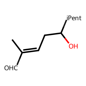 CCCC(C)C(O)CC=C(C)C=O